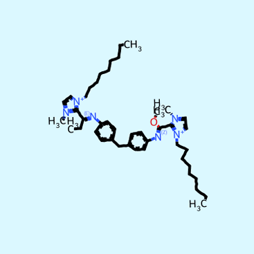 CCCCCCCCC[n+]1ccn(C)c1/C(=N/c1ccc(Cc2ccc(/N=C(\CC)c3n(C)cc[n+]3CCCCCCCCC)cc2)cc1)OC